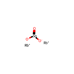 [O]=[Sn]([O-])[O-].[Rb+].[Rb+]